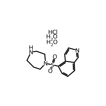 Cl.O.O.O=S(=O)(c1cccc2cnccc12)N1CCCNCC1